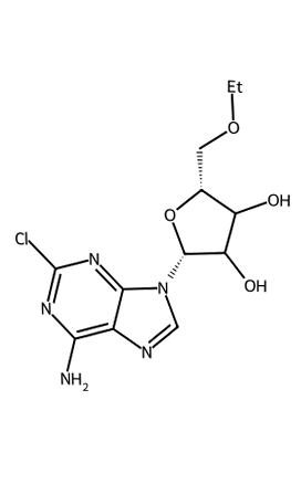 CCOC[C@H]1O[C@@H](n2cnc3c(N)nc(Cl)nc32)C(O)C1O